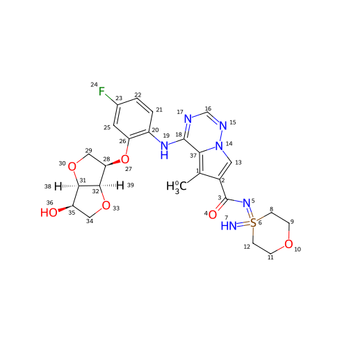 Cc1c(C(=O)N=S2(=N)CCOCC2)cn2ncnc(Nc3ccc(F)cc3O[C@@H]3CO[C@H]4[C@@H]3OC[C@H]4O)c12